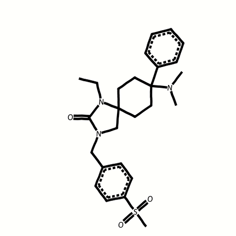 CCN1C(=O)N(Cc2ccc(S(C)(=O)=O)cc2)CC12CCC(c1ccccc1)(N(C)C)CC2